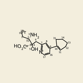 CC(C)C[C@H](N)[C@](O)(Cc1cc(C2=CCCCC2)ccn1)C(=O)O